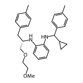 COCCOC[C@H](Cc1ccc(C)cc1)Nc1ccccc1NC(c1ccc(C)cc1)C1CC1